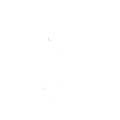 O=C(NO)c1ccc2cnc(-c3ccccc3)nc2c1